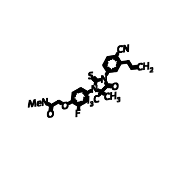 C=CCc1cc(N2C(=O)C(C)(C)N(c3ccc(OCC(=O)NC)c(F)c3)C2=S)ccc1C#N